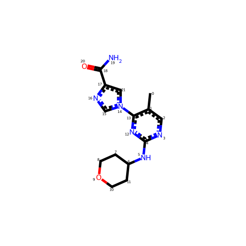 Cc1cnc(NC2CCOCC2)nc1-n1cnc(C(N)=O)c1